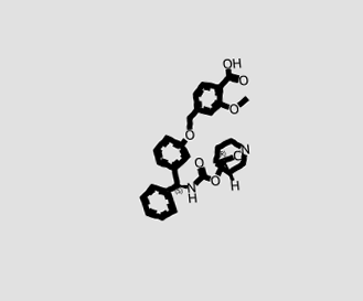 COc1cc(COc2cccc([C@@H](NC(=O)O[C@H]3CN4CCC3CC4)c3ccccc3)c2)ccc1C(=O)O